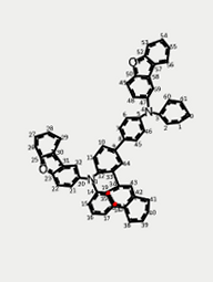 c1ccc(N(c2ccc(-c3ccc(N(c4ccccc4)c4ccc5oc6ccccc6c5c4)c(-c4ccc5ccccc5c4)c3)cc2)c2ccc3oc4ccccc4c3c2)cc1